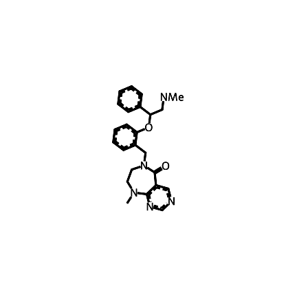 CNCC(Oc1ccccc1CN1CCN(C)c2ncncc2C1=O)c1ccccc1